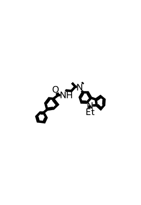 CCn1c2ccccc2c2cc(N(C)C(C)CCNC(=O)c3ccc(-c4ccccc4)cc3)ccc21